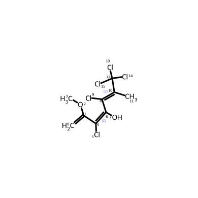 C=C(OC)/C(Cl)=C(O)\C(Cl)=C(/C)C(Cl)(Cl)Cl